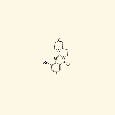 Cc1cc(Br)c2nc3n(c(=O)c2c1)CCC1COCCN31